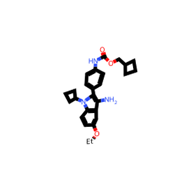 CCOc1ccc2c(c1)c(N)c(-c1ccc(NC(=O)OCC3CCC3)cc1)n2C1CCC1